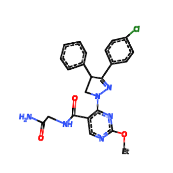 CCOc1ncc(C(=O)NCC(N)=O)c(N2CC(c3ccccc3)C(c3ccc(Cl)cc3)=N2)n1